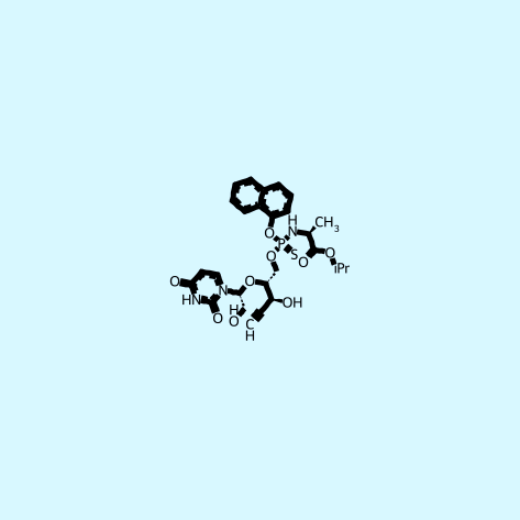 C#C[C@H](O)[C@@H](COP(=S)(N[C@@H](C)C(=O)OC(C)C)Oc1cccc2ccccc12)O[C@H](CO)n1ccc(=O)[nH]c1=O